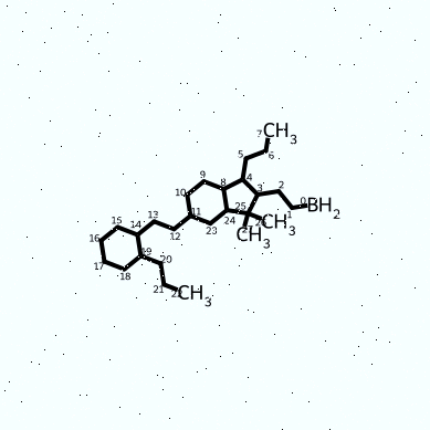 BCCC1C(CCC)C2CCC(CCC3CCCCC3CCC)CC2C1(C)C